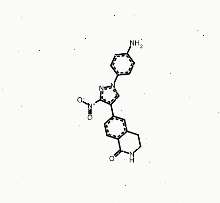 Nc1ccc(-n2cc(-c3ccc4c(c3)CCNC4=O)c([N+](=O)[O-])n2)cc1